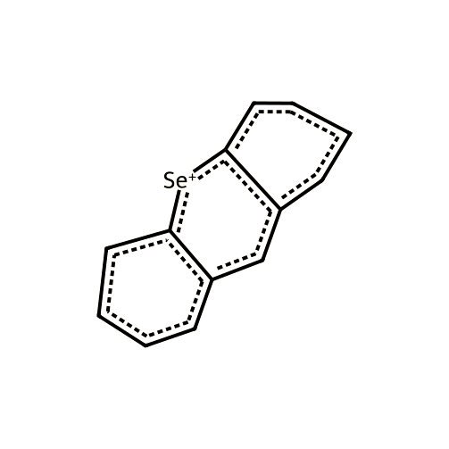 c1ccc2[se+]c3ccccc3cc2c1